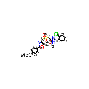 COc1ccc(-c2nc(CS(=O)(=O)CC(=O)NCc3ccccc3Cl)c(C)o2)cc1